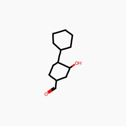 O=CC1CCC(C2CCCCC2)C(O)C1